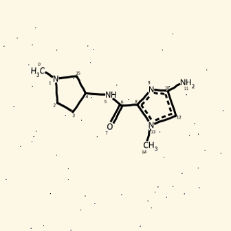 CN1CCC(NC(=O)c2nc(N)cn2C)C1